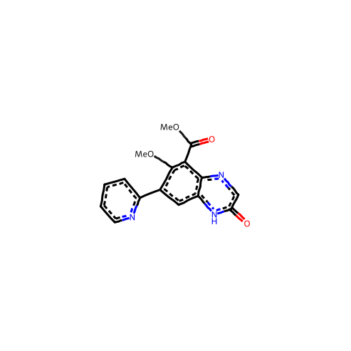 COC(=O)c1c(OC)c(-c2ccccn2)cc2[nH]c(=O)cnc12